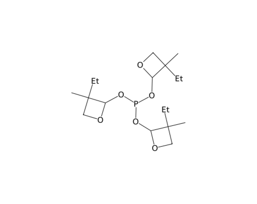 CCC1(C)COC1OP(OC1OCC1(C)CC)OC1OCC1(C)CC